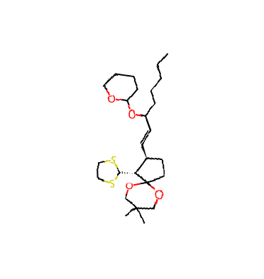 CCCCCC(C=C[C@H]1CCC2(OCC(C)(C)CO2)[C@@H]1C1SCCS1)OC1CCCCO1